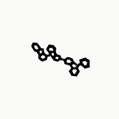 C1=CC2c3cc(-c4ccc5c(c4)c4ccccc4n5-c4cccc5c4sc4ccccc45)ccc3N(c3ccccc3)C2C=C1